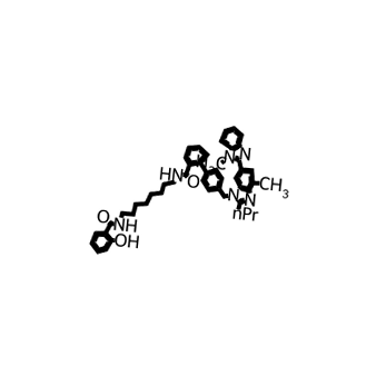 CCCc1nc2c(C)cc(-c3nc4ccccc4n3C)cc2n1Cc1ccc(-c2ccccc2C(=O)NCCCCCCCCNC(=O)c2ccccc2O)cc1